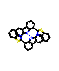 c1ccc2sc(-c3cccc4c5ccccc5n(-n5c6ccccc6c6cccc(-c7nc8ccccc8s7)c65)c34)nc2c1